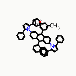 Cc1cc(C)cc(-c2c3cc(-n4c(-c5ccccc5)ccc4-c4ccccc4)ccc3c(-c3cccc4ccccc34)c3cc(-n4c(-c5ccccc5)ccc4-c4ccccc4)ccc23)c1